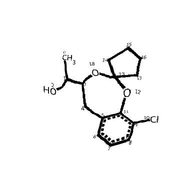 CC(O)C1Cc2cccc(Cl)c2OC2(CCCC2)O1